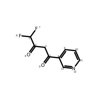 O=C(CC(=O)C(F)F)c1cccnc1